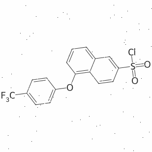 O=S(=O)(Cl)c1ccc2c(Oc3ccc(C(F)(F)F)cc3)cccc2c1